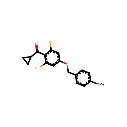 COc1ccc(COc2cc(P)c(C(=O)C3CC3)c(P)c2)cc1